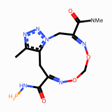 CNC(=O)/C1=N/OCO/N=C(/C(=O)NP)Cc2c(C)nnn2C1